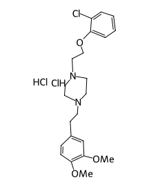 COc1ccc(CCN2CCN(CCOc3ccccc3Cl)CC2)cc1OC.Cl.Cl